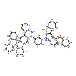 c1cc(-c2nc3ccccc3c3cc4c(cc23)-c2ccccc2C42c3ccccc3-c3ccccc32)cc(-n2c3ccc4c5ccccc5sc4c3c3c4ccccc4sc32)c1